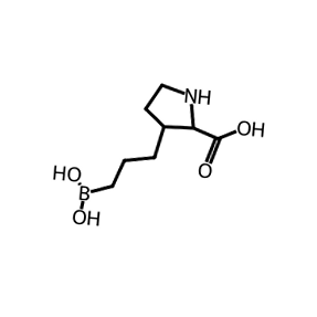 O=C(O)C1NCCC1CCCB(O)O